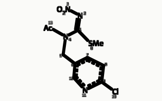 CS/C(=N/[N+](=O)[O-])N(Cc1ccc(Cl)nc1)C(C)=O